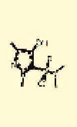 Cc1nn(C)c(S(=O)(=O)N(C)C)c1O